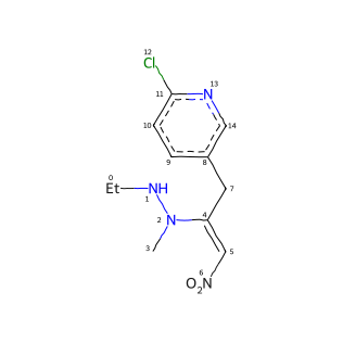 CCNN(C)C(=C[N+](=O)[O-])Cc1ccc(Cl)nc1